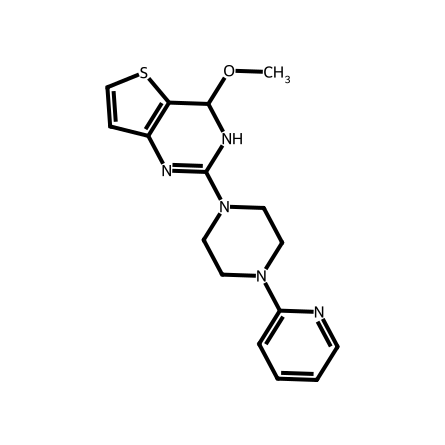 COC1NC(N2CCN(c3ccccn3)CC2)=Nc2ccsc21